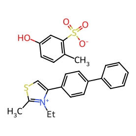 CC[n+]1c(-c2ccc(-c3ccccc3)cc2)csc1C.Cc1ccc(O)cc1S(=O)(=O)[O-]